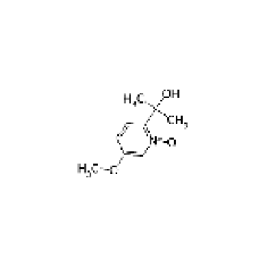 COc1ccc(C(C)(C)O)[n+]([O-])c1